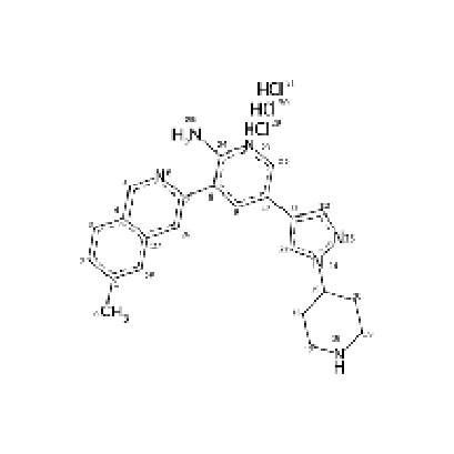 Cc1ccc2cnc(-c3cc(-c4cnn(C5CCNCC5)c4)cnc3N)cc2c1.Cl.Cl.Cl